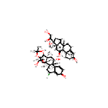 CC1(C)O[C@@H]2C[C@H]3[C@@H]4C[C@H](F)C5=CC(=O)C=C[C@]5(C)[C@H]4[C@@H](O)C[C@]3(C)[C@]2(C(=O)CO)O1.C[C@]12CCC(=O)C=C1CC[C@@H]1[C@@H]2C(=O)C[C@@]2(C)[C@H]1CC[C@]2(O)C(=O)CO